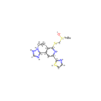 CCCC[S+]([O-])CSc1nc(-c2nccs2)cc(-c2ncnn2C)c1C#N